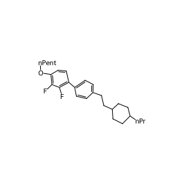 CCCCCOc1ccc(-c2ccc(CCC3CCC(CCC)CC3)cc2)c(F)c1F